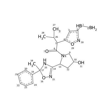 BBc1cc(C(C(=O)N2CC(O)CC2C2=NOC(C)(c3ccccc3)N2)C(C)C)on1